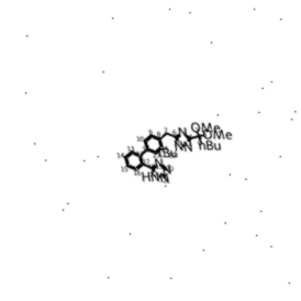 CCCCC(OC)(OC)c1nc(Cc2ccc(-c3ccccc3-c3nnn[nH]3)cc2)n(C(C)(C)C)n1